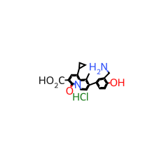 Cc1c(-c2ccc(O)c(CN)c2)ccn2c(=O)c(C(=O)O)cc(C3CC3)c12.Cl